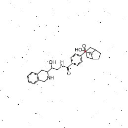 O=C(NCC(O)C1Cc2ccccc2CN1)c1ccc(C(=O)N2C3CCC2CC(O)C3)cc1